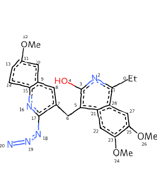 CCc1nc(O)c(Cc2cc3cc(OC)ccc3nc2N=[N+]=[N-])c2cc(OC)c(OC)cc12